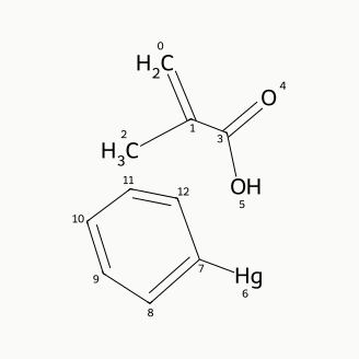 C=C(C)C(=O)O.[Hg][c]1ccccc1